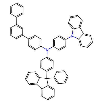 c1ccc(-c2cccc(-c3ccc(N(c4ccc(-n5c6ccccc6c6ccccc65)cc4)c4ccc(C5(c6ccccc6)c6ccccc6-c6ccccc65)cc4)cc3)c2)cc1